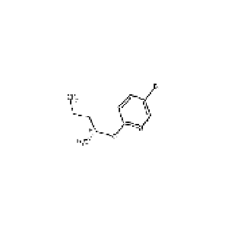 CCC[C@@H](C)Oc1ccc(Br)cn1